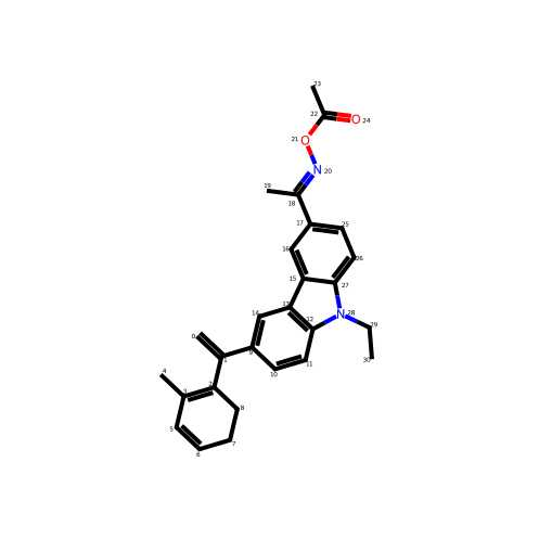 C=C(C1=C(C)C=CCC1)c1ccc2c(c1)c1cc(/C(C)=N/OC(C)=O)ccc1n2CC